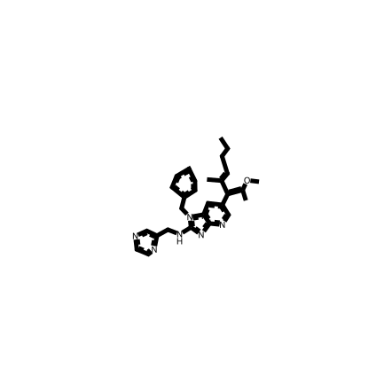 CCC/C=C(C)/C(=C(/C)OC)c1cnc2nc(NCc3cnccn3)n(Cc3ccccc3)c2c1